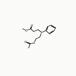 COC(=O)CCP(CCOC(C)=O)c1ccccc1